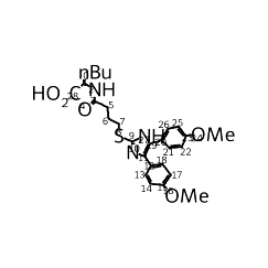 CCCCC(NC(=O)CCCSc1nc(-c2ccc(OC)cc2)c(-c2ccc(OC)cc2)[nH]1)C(=O)O